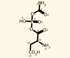 NC(=O)OP(=O)(O)OC(=O)[C@@H](N)CC(=O)O